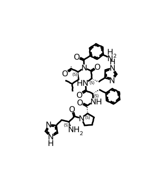 CC(C)C[C@@H]([C]=O)N(C(=O)c1cccc(N)c1)C(=O)[C@H](Cc1c[nH]cn1)NC(=O)[C@H](Cc1ccccc1)NC(=O)[C@@H]1CCCN1C(=O)[C@@H](N)Cc1c[nH]cn1